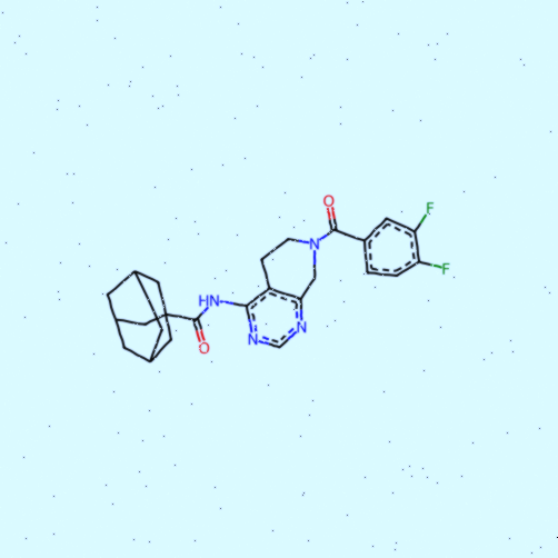 O=C(c1ccc(F)c(F)c1)N1CCc2c(ncnc2NC(=O)C23CC4CC(CC(C4)C2)C3)C1